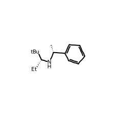 CC[C@@H](N[C@H](C)c1ccccc1)C(C)(C)C